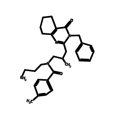 Cc1ccc(C(=O)N(CCCN)CC(C)Cc2nc3c(c(=O)n2Cc2ccccc2)CCCC3)cc1